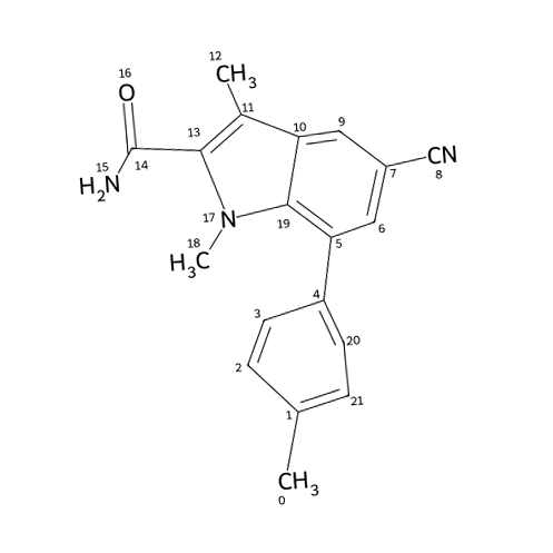 Cc1ccc(-c2cc(C#N)cc3c(C)c(C(N)=O)n(C)c23)cc1